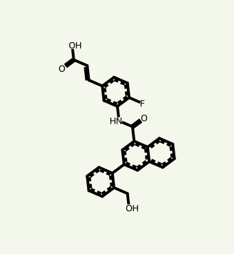 O=C(O)/C=C/c1ccc(F)c(NC(=O)c2cc(-c3ccccc3CO)cc3ccccc23)c1